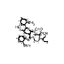 C=CC(=O)N1CCN(/C(=N/c2cccnc2SC)c2cc(F)c(-c3c(O)cccc3P)nc2NC=O)CC1CC#N